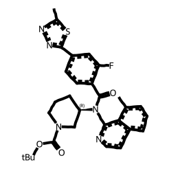 Cc1nnc(-c2ccc(C(=O)N(c3nccc4cccc(C)c34)[C@@H]3CCCN(C(=O)OC(C)(C)C)C3)c(F)c2)s1